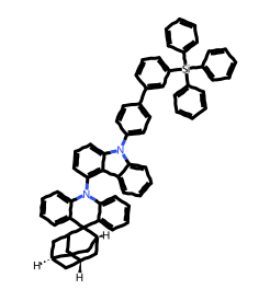 c1ccc([Si](c2ccccc2)(c2ccccc2)c2cccc(-c3ccc(-n4c5ccccc5c5c(N6c7ccccc7C7(c8ccccc86)C6C[C@H]8C[C@@H](C6)C[C@@H]7C8)cccc54)cc3)c2)cc1